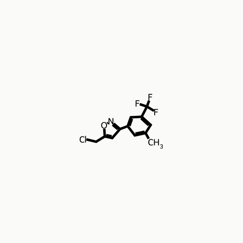 Cc1cc(-c2cc(CCl)on2)cc(C(F)(F)F)c1